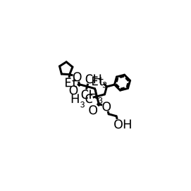 CCC(CC(C)(CC(C)(C)C(=O)OC1(CC)CCCC1)C(=O)OCCO)c1ccccc1